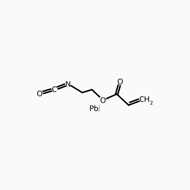 C=CC(=O)OCCN=C=O.[Pb]